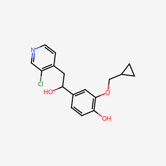 Oc1ccc(C(O)Cc2ccncc2Cl)cc1OCC1CC1